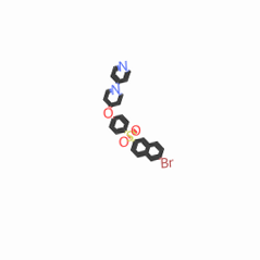 O=S(=O)(c1ccc(OC2CCN(c3ccncc3)CC2)cc1)c1ccc2cc(Br)ccc2c1